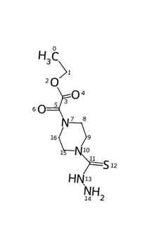 CCOC(=O)C(=O)N1CCN(C(=S)NN)CC1